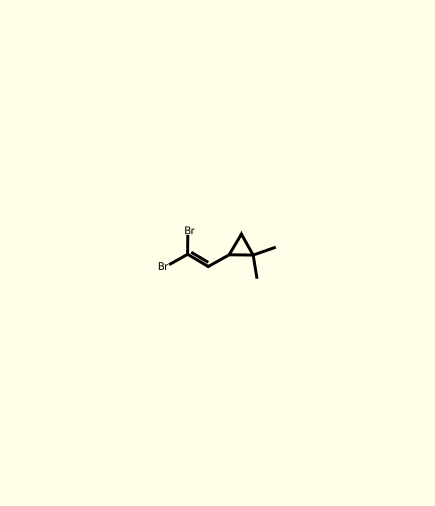 CC1(C)[CH]C1C=C(Br)Br